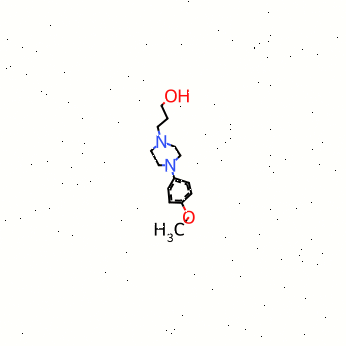 COc1ccc(N2CCN(CCCO)CC2)cc1